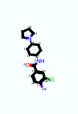 O=C(N[C@H]1CC[C@H](N2CCCC2)CC1)c1ccc(I)c(Cl)c1